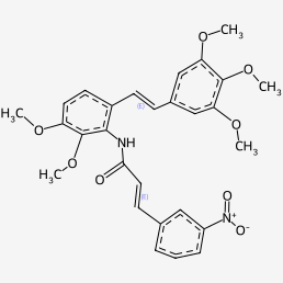 COc1cc(/C=C/c2ccc(OC)c(OC)c2NC(=O)/C=C/c2cccc([N+](=O)[O-])c2)cc(OC)c1OC